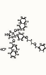 Cl.c1ccc(COCCCOc2ccc(C3[C@@H](OCc4ccc5ccccc5c4)CNC[C@H]3OCc3ccc4ccccc4c3)cc2)cc1